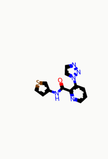 O=C(Nc1ccsc1)c1ncccc1-n1ccnn1